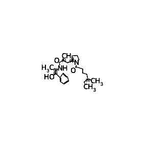 CC[C@H](C)CCCC(=O)N1CCC[C@@H]1C[C@H](C)C(=O)N[C@@H](C)[C@H](O)c1ccccc1